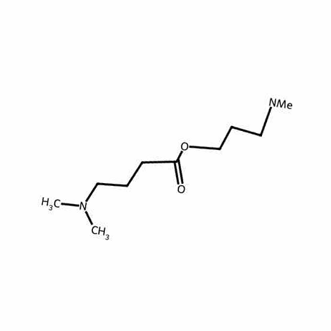 CNCCCOC(=O)CCCN(C)C